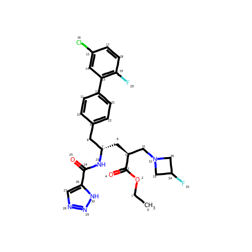 CCOC(=O)[C@@H](C[C@@H](Cc1ccc(-c2cc(Cl)ccc2F)cc1)NC(=O)c1cnn[nH]1)CN1CC(F)C1